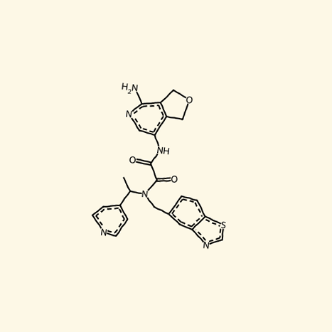 CC(c1ccncc1)N(Cc1ccc2scnc2c1)C(=O)C(=O)Nc1cnc(N)c2c1COC2